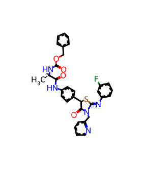 C[C@H](NC(=O)OCc1ccccc1)C(=O)Nc1ccc(C2S/C(=N\c3cccc(F)c3)N(Cc3ccccn3)C2=O)cc1